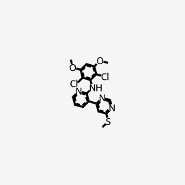 COc1cc(OC)c(Cl)c(Nc2ncccc2-c2cc(SC)ncn2)c1Cl